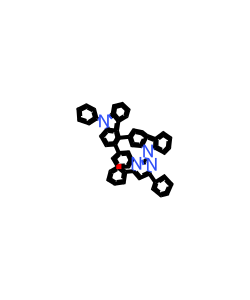 c1ccc(-c2cc(-c3ccccc3)nc(-n3c4ccccc4c4ccc(-c5c(-c6ccccc6)ccc6c5c5ccccc5n6-c5ccccc5)cc43)n2)cc1